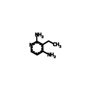 CCc1c(N)ccnc1N